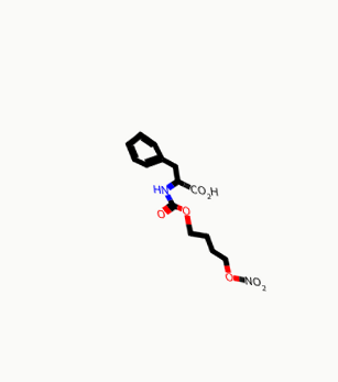 O=C(NC(Cc1ccccc1)C(=O)O)OCCCCO[N+](=O)[O-]